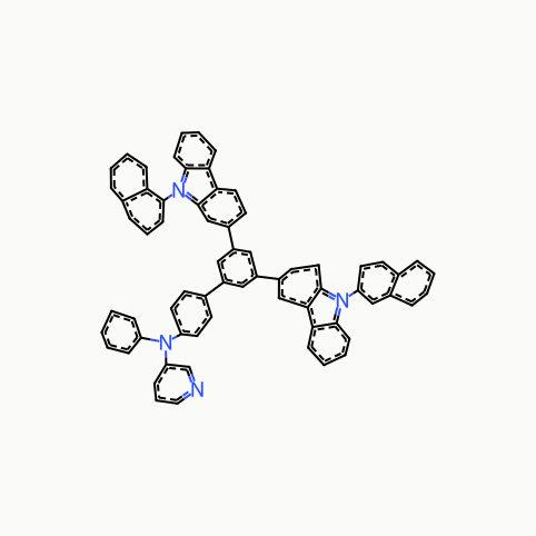 c1ccc(N(c2ccc(-c3cc(-c4ccc5c(c4)c4ccccc4n5-c4ccc5ccccc5c4)cc(-c4ccc5c6ccccc6n(-c6cccc7ccccc67)c5c4)c3)cc2)c2cccnc2)cc1